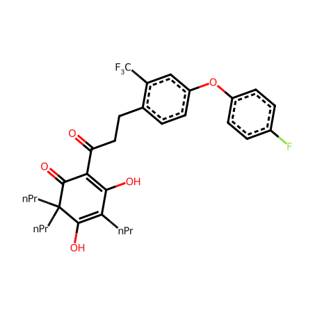 CCCC1=C(O)C(CCC)(CCC)C(=O)C(C(=O)CCc2ccc(Oc3ccc(F)cc3)cc2C(F)(F)F)=C1O